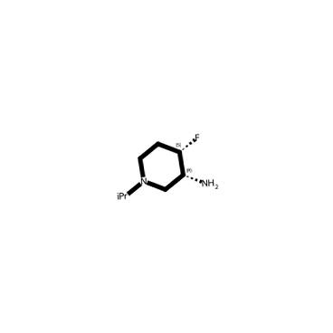 CC(C)N1CC[C@H](F)[C@H](N)C1